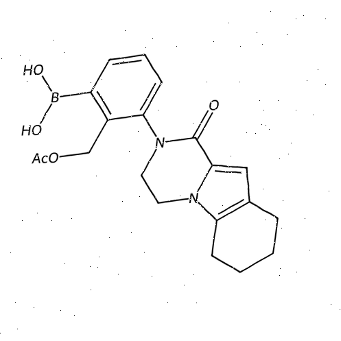 CC(=O)OCc1c(B(O)O)cccc1N1CCn2c(cc3c2CCCC3)C1=O